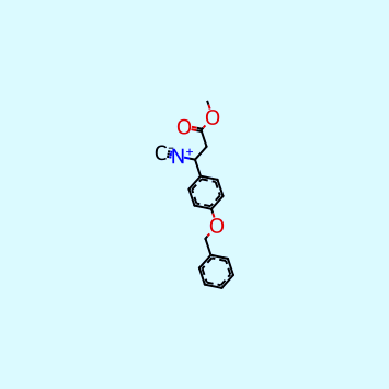 [C-]#[N+]C(CC(=O)OC)c1ccc(OCc2ccccc2)cc1